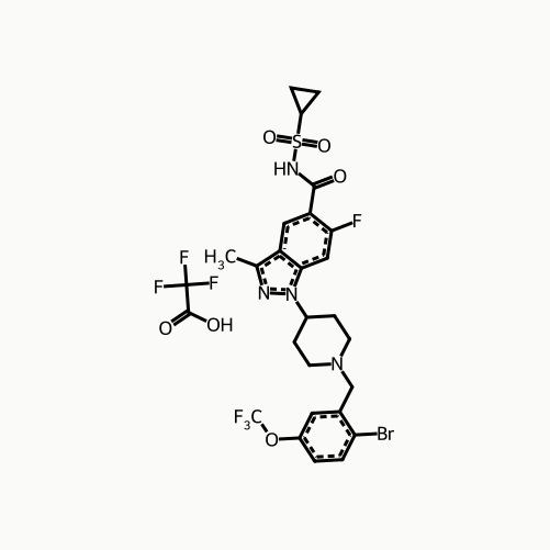 Cc1nn(C2CCN(Cc3cc(OC(F)(F)F)ccc3Br)CC2)c2cc(F)c(C(=O)NS(=O)(=O)C3CC3)cc12.O=C(O)C(F)(F)F